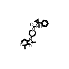 Cc1nccc2c1nc(C)n2C1CCN(C(=O)NC2(c3ccccc3)CC2)CC1